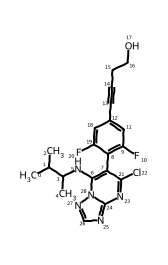 CC(C)C(C)Nc1c(-c2c(F)cc(C#CCCO)cc2F)c(Cl)nc2ncnn12